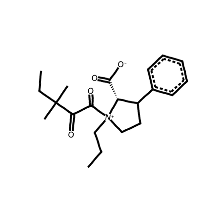 CCC[N+]1(C(=O)C(=O)C(C)(C)CC)CCC(c2ccccc2)[C@H]1C(=O)[O-]